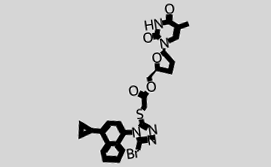 Cc1cn([C@H]2CC[C@@H](COC(=O)CSc3nnc(Br)n3-c3ccc(C4CC4)c4ccccc34)O2)c(=O)[nH]c1=O